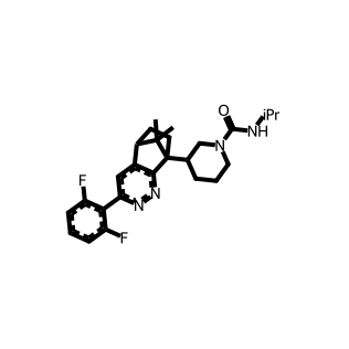 CC(C)NC(=O)N1CCCC(C23CCC(c4cc(-c5c(F)cccc5F)nnc42)C3(C)C)C1